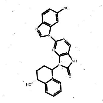 [C-]#[N+]c1ccc2ncn(-c3ncc4[nH]c(=O)n(C5CC[C@@H](O)c6ccccc65)c4n3)c2c1